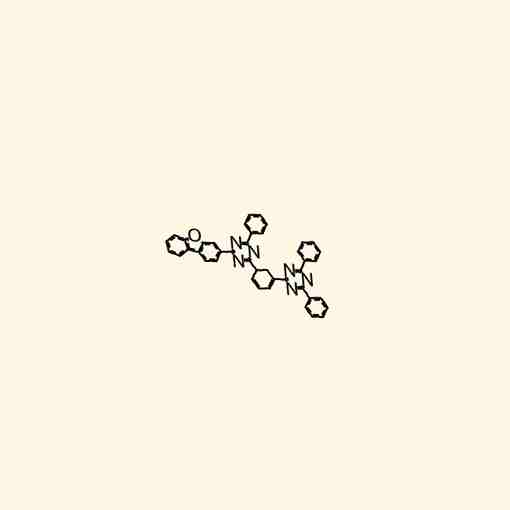 C1=CC(c2nc(-c3ccccc3)nc(-c3ccc4c(c3)oc3ccccc34)n2)CC(c2nc(-c3ccccc3)nc(-c3ccccc3)n2)=C1